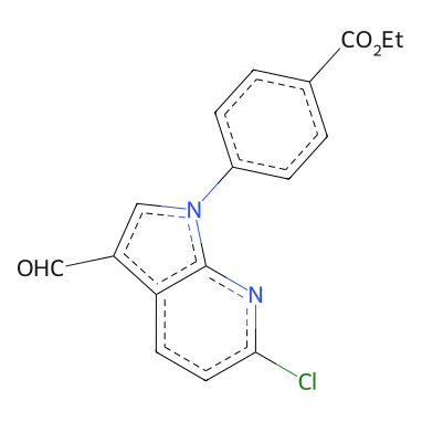 CCOC(=O)c1ccc(-n2cc(C=O)c3ccc(Cl)nc32)cc1